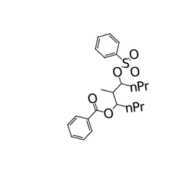 CCCC(OC(=O)c1ccccc1)C(C)C(CCC)OS(=O)(=O)c1ccccc1